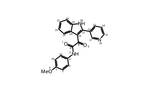 COc1ccc(NC(=O)C(=O)c2c(-c3cccnc3)[nH]c3ccccc23)cc1